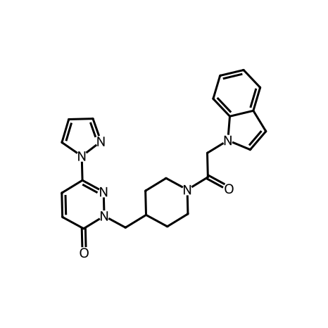 O=C(Cn1ccc2ccccc21)N1CCC(Cn2nc(-n3cccn3)ccc2=O)CC1